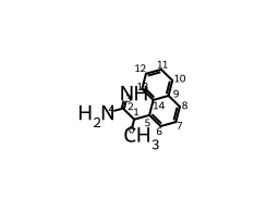 CC(C(=N)N)c1cccc2ccccc12